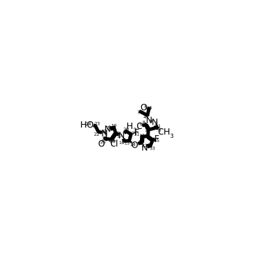 Cc1nn(C2COC2)c(C)c1-c1cc(O[C@H]2CN(c3cnn(CCO)c(=O)c3Cl)C[C@@H]2F)ncc1F